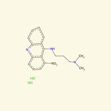 CN(C)CCCNc1c2ccccc2nc2cccc([N+](=O)[O-])c12.Cl.Cl